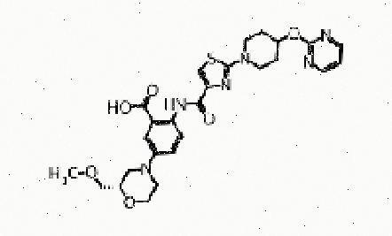 COC[C@@H]1CN(c2ccc(NC(=O)c3csc(N4CCC(Oc5ncccn5)CC4)n3)c(C(=O)O)c2)CCO1